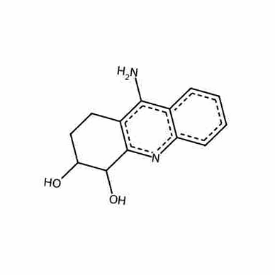 Nc1c2c(nc3ccccc13)C(O)C(O)CC2